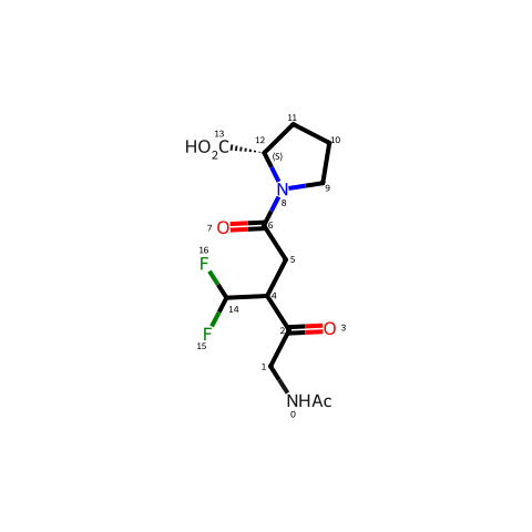 CC(=O)NCC(=O)C(CC(=O)N1CCC[C@H]1C(=O)O)C(F)F